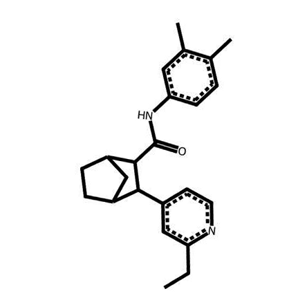 CCc1cc(C2C3CCC(C3)C2C(=O)Nc2ccc(C)c(C)c2)ccn1